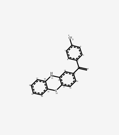 C=C(c1ccc(C(F)(F)F)cc1)c1ccc2c(c1)Nc1ccccc1S2